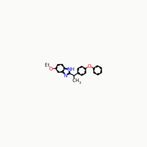 CCOc1ccc2[nH]c(C(C)c3ccc(Oc4ccccc4)cc3)nc2c1